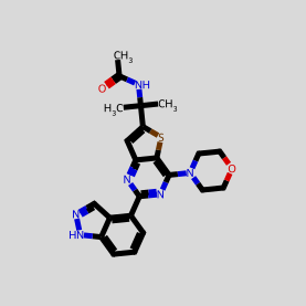 CC(=O)NC(C)(C)c1cc2nc(-c3cccc4[nH]ncc34)nc(N3CCOCC3)c2s1